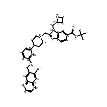 CC(C)(C)OC(=O)c1ccc2nc(CN3CCC(c4cccc(OCc5cc6nccnc6cc5F)n4)CC3)n(C[C@@H]3CCO3)c2c1